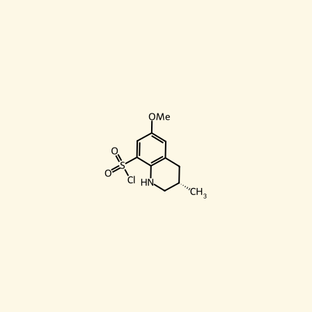 COc1cc2c(c(S(=O)(=O)Cl)c1)NC[C@@H](C)C2